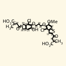 COc1cc2sc(C(=O)C[C@H](C)C(=O)O)cc2c(Cl)c1OCCCOc1c(O)cc2c(c1Cl)CN(C(=O)C[C@H](C)C(=O)O)C2